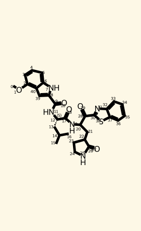 COc1cccc2[nH]c(C(=O)N[C@@H](CC(C)C)C(=O)NC(CC3CCNC3=O)C(=O)c3nc4ccccc4s3)cc12